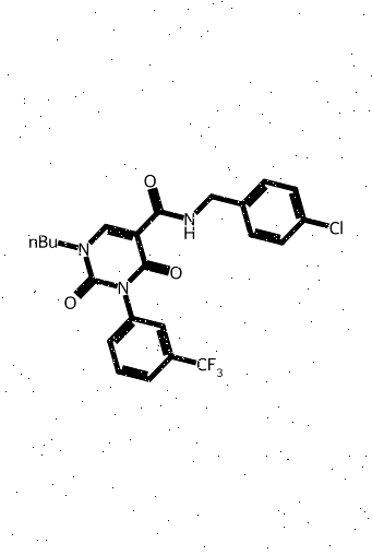 CCCCn1cc(C(=O)NCc2ccc(Cl)cc2)c(=O)n(-c2cccc(C(F)(F)F)c2)c1=O